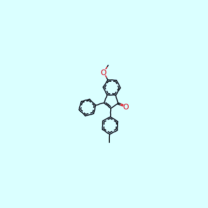 COc1ccc2c(c1)C(c1ccccc1)=C(c1ccc(C)cc1)C2=O